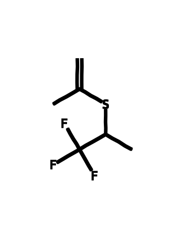 C=C(C)SC(C)C(F)(F)F